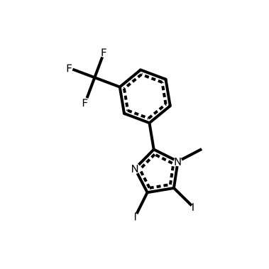 Cn1c(-c2cccc(C(F)(F)F)c2)nc(I)c1I